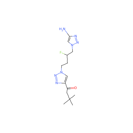 CC(C)(C)CC(=O)c1cn(CCC(F)Cn2cc(N)nn2)nn1